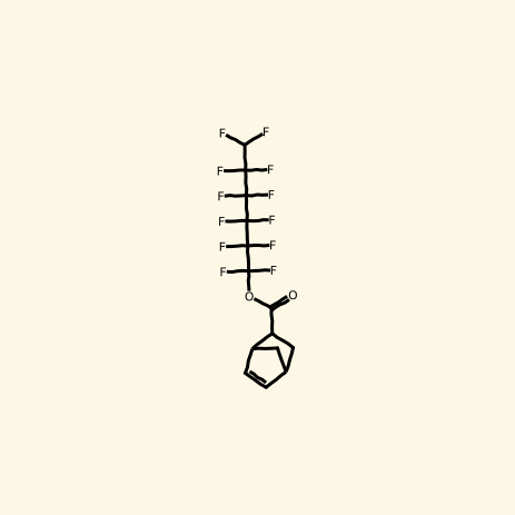 O=C(OC(F)(F)C(F)(F)C(F)(F)C(F)(F)C(F)(F)C(F)F)C1CC2C=CC1C2